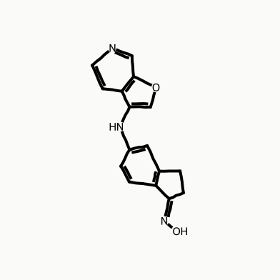 ON=C1CCc2cc(Nc3coc4cnccc34)ccc21